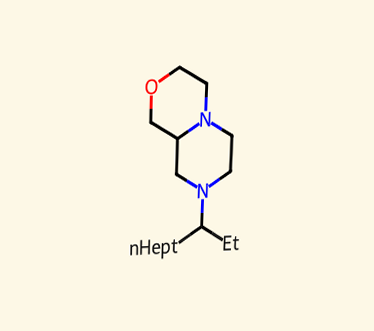 CCCCCCCC(CC)N1CCN2CCOCC2C1